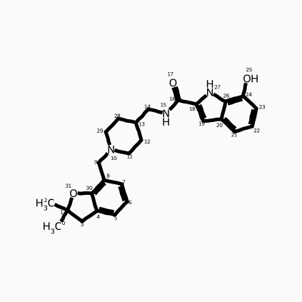 CC1(C)Cc2cccc(CN3CCC(CNC(=O)c4cc5cccc(O)c5[nH]4)CC3)c2O1